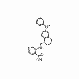 CN(c1ccccc1)c1ccc2c(c1)CCC[C@H]2CNc1cnccc1C(=O)O